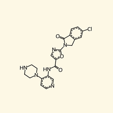 O=C(Nc1cnccc1N1CCNCC1)c1cnc(N2Cc3cc(Cl)ccc3C2=O)o1